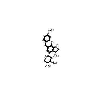 CCOc1ccc(Cc2cc([C@@H]3OC[C@@H](OC(C)=O)[C@H](OC(C)=O)[C@H]3OC(C)=O)c3c(c2Cl)OCC3)cc1